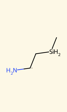 C[SiH2]C[CH]N